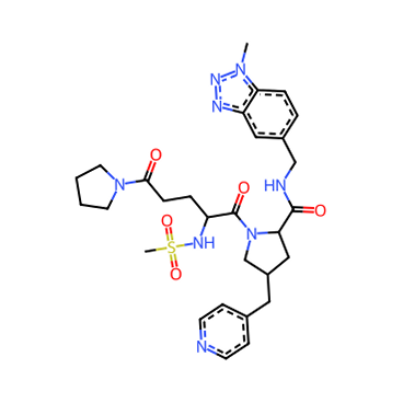 Cn1nnc2cc(CNC(=O)C3CC(Cc4ccncc4)CN3C(=O)C(CCC(=O)N3CCCC3)NS(C)(=O)=O)ccc21